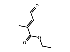 CCOC(=O)C(C)=CC=O